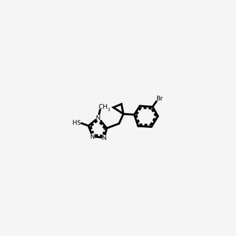 Cn1c(S)nnc1CC1(c2cccc(Br)c2)CC1